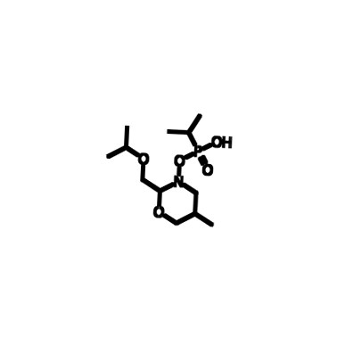 CC1COC(COC(C)C)N(OP(=O)(O)C(C)C)C1